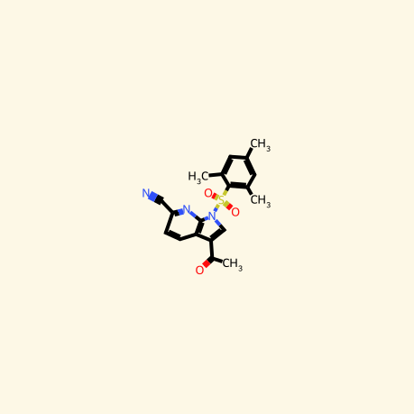 CC(=O)c1cn(S(=O)(=O)c2c(C)cc(C)cc2C)c2nc(C#N)ccc12